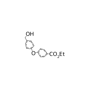 CCOC(=O)c1ccc(Oc2ccc(CO)cc2)cc1